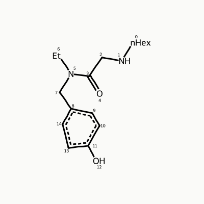 CCCCCCNCC(=O)N(CC)Cc1ccc(O)cc1